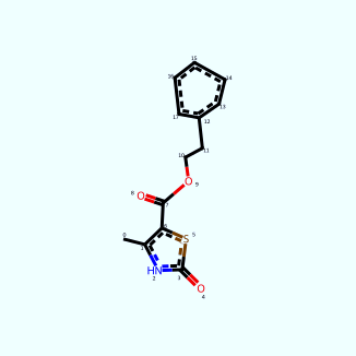 Cc1[nH]c(=O)sc1C(=O)OCCc1ccccc1